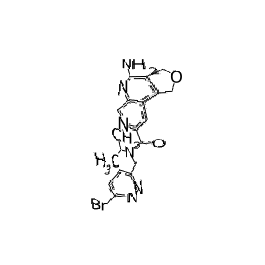 CC(C)N(Cc1ccc(Br)nn1)C(=O)c1cc2c3c(c(N)nc2cn1)COC3